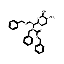 N[C@@H]1CC[C@@H]([C@H](COCc2ccccc2)N(Cc2ccccc2)C(=O)OCc2ccccc2)OC1O